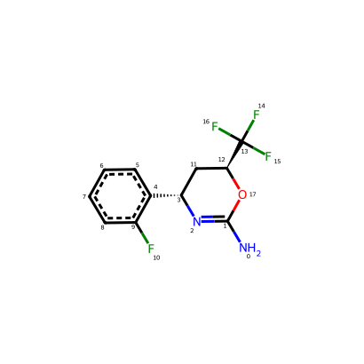 NC1=N[C@H](c2ccccc2F)C[C@@H](C(F)(F)F)O1